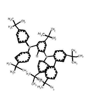 CC(C)(C)c1ccc(-c2cc(C(C)(C)C)ccc2N(c2ccc(C(C)(C)C)cc2)c2cc(C(C)(C)C)cc(N(c3ccc(C(C)(C)C)cc3)c3ccc(C(C)(C)C)cc3)c2Cl)cc1